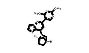 COc1ncc(-c2cc(N3C[C@H]4CC[C@@H]3C4)c3nccn3n2)c(OC)n1